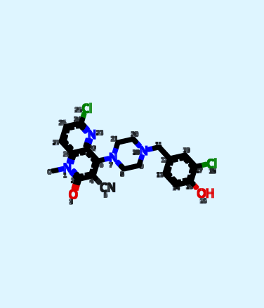 Cn1c(=O)c(C#N)c(N2CCN(Cc3ccc(O)c(Cl)c3)CC2)c2nc(Cl)ccc21